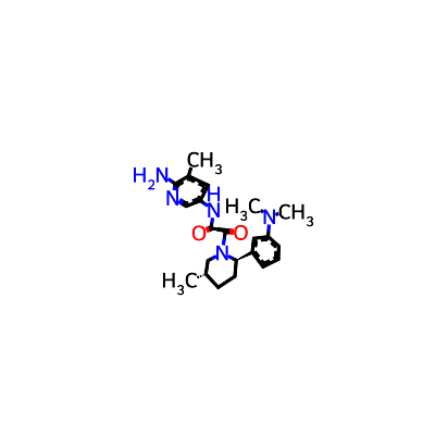 Cc1cc(NC(=O)C(=O)N2C[C@@H](C)CC[C@@H]2c2cccc(N(C)C)c2)cnc1N